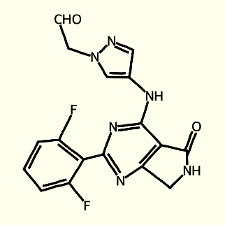 O=CCn1cc(Nc2nc(-c3c(F)cccc3F)nc3c2C(=O)NC3)cn1